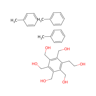 Cc1ccccc1.Cc1ccccc1.Cc1ccccc1.OCCc1c(CO)c(CO)c(CO)c(CO)c1CO